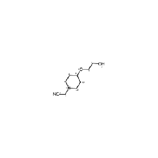 N#CCN1CCC(OCCO)CC1